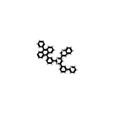 c1ccc(-c2c3ccccc3c(-c3cccc(-c4nc(-c5cccc(-c6ccccn6)c5)cc(-c5cnc6ccccc6c5)n4)c3)c3ccccc23)cc1